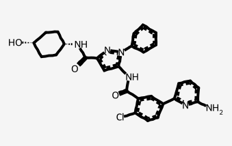 Nc1cccc(-c2ccc(Cl)c(C(=O)Nc3cc(C(=O)N[C@H]4CC[C@@H](O)CC4)nn3-c3ccccc3)c2)n1